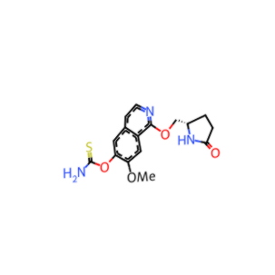 COc1cc2c(OC[C@@H]3CCC(=O)N3)nccc2cc1OC(N)=S